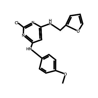 COc1ccc(Nc2cc(NCc3ccco3)nc(Cl)n2)cc1